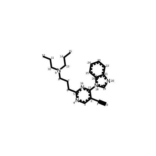 C#Cc1cnc(CCCN(CCC)CCC)nc1-n1cnc2ccccc21